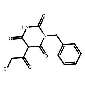 O=C(CCl)C1C(=O)NC(=O)N(Cc2ccccc2)C1=O